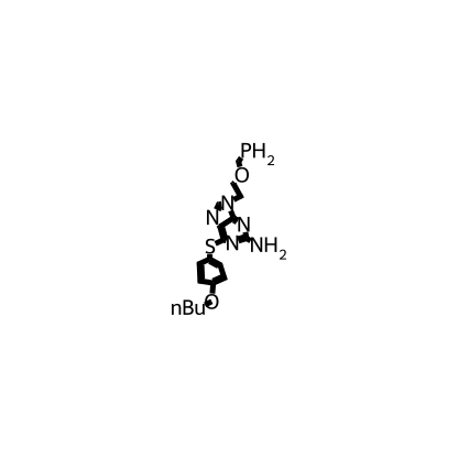 CCCCOc1ccc(Sc2nc(N)nc3c2ncn3CCOCP)cc1